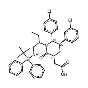 CCC(CN[Si](c1ccccc1)(c1ccccc1)C(C)(C)C)N1C(=O)[C@H](CC(=O)O)C[C@H](c2cccc(Cl)c2)[C@H]1c1ccc(Cl)cc1